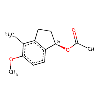 COc1ccc2c(c1C)CC[C@H]2OC(C)=O